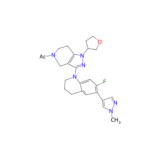 CC(=O)N1CCc2c(c(N3CCCc4cc(-c5cnn(C)c5)c(F)cc43)nn2C2CCOC2)C1